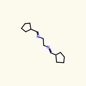 C(=NCCN=CC1CCCC1)C1CCCC1